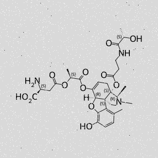 Cc1ccc(O)c2c1[C@]13CCN(C)[C@H](C)[C@]1(OC(=O)CCNC(=O)[C@H](C)O)CC=C(OC(=O)[C@H](C)OC(=O)C[C@H](N)C(=O)O)[C@@H]3O2